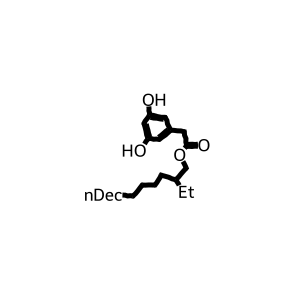 CCCCCCCCCCCCCCC(CC)COC(=O)Cc1cc(O)cc(O)c1